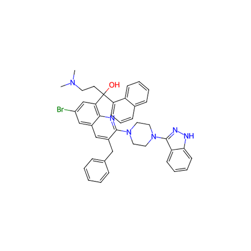 CN(C)CCC(O)(c1cccc2ccccc12)c1cc(Br)cc2cc(Cc3ccccc3)c(N3CCN(c4n[nH]c5ccccc45)CC3)nc12